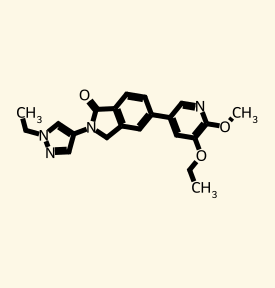 CCOc1cc(-c2ccc3c(c2)CN(c2cnn(CC)c2)C3=O)cnc1OC